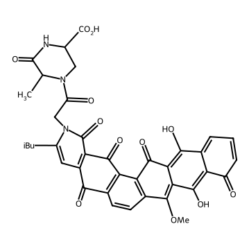 CCC(C)c1cc2c(=O)c3ccc4c(OC)c5c(O)c6c(=O)cccc6c(O)c5c(=O)c4c3c(=O)c2c(=O)n1CC(=O)N1CC(C(=O)O)NC(=O)C1C